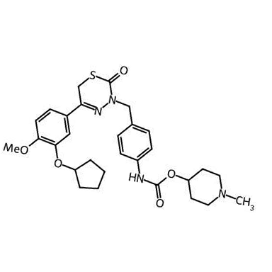 COc1ccc(C2=NN(Cc3ccc(NC(=O)OC4CCN(C)CC4)cc3)C(=O)SC2)cc1OC1CCCC1